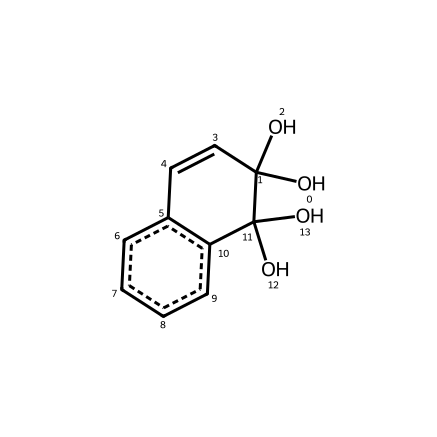 OC1(O)C=Cc2ccccc2C1(O)O